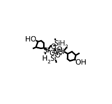 C[SiH2]O[Si](O[SiH2]C)(O[Si](C)(C)C1CCC(O)C(C)C1)O[Si](C)(C)C1CCC(O)C(C)C1